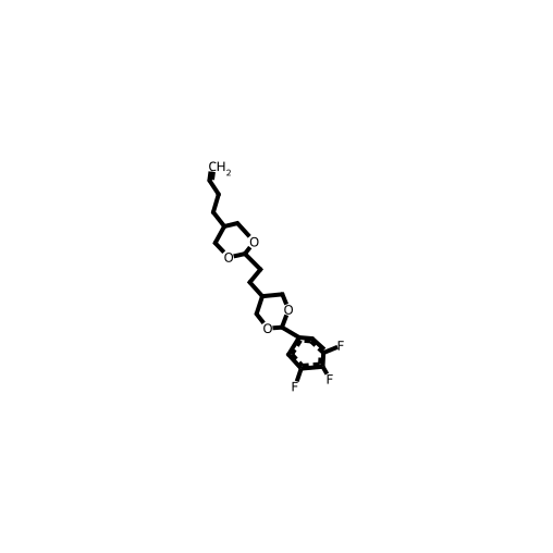 C=CCCC1COC(CCC2COC(c3cc(F)c(F)c(F)c3)OC2)OC1